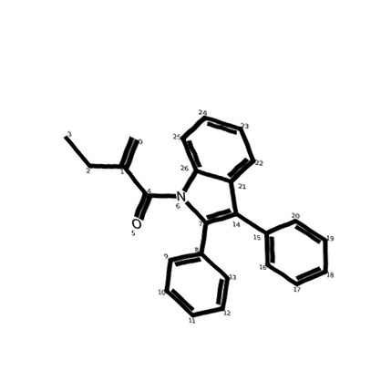 C=C(CC)C(=O)n1c(-c2ccccc2)c(-c2ccccc2)c2ccccc21